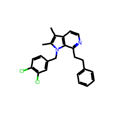 Cc1c(C)n(Cc2ccc(Cl)c(Cl)c2)c2c(CCc3ccccc3)nccc12